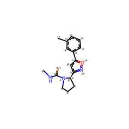 CNC(=S)N1CCC[C@@H]1c1cc(-c2cccc(C)c2)on1